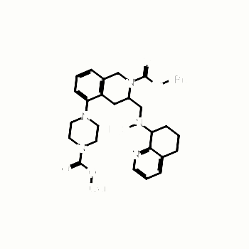 CN(CC1Cc2c(cccc2N2CCN(C(=O)OC(C)(C)C)CC2)CN1C(=O)OC(C)(C)C)C1CCCc2cccnc21